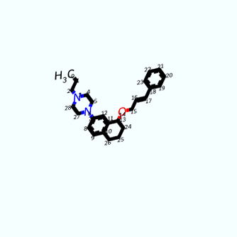 CCCN1CCN(c2ccc3c(c2)C(OCC=Cc2ccccc2)CCC3)CC1